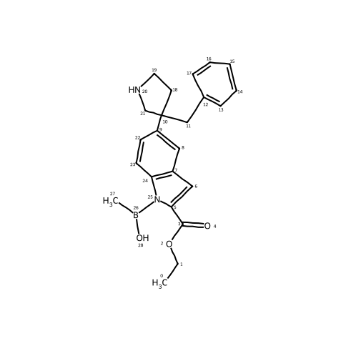 CCOC(=O)c1cc2cc(C3(Cc4ccccc4)CCNC3)ccc2n1B(C)O